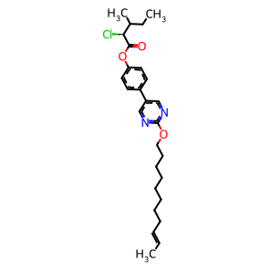 CC=CCCCCCCCCOc1ncc(-c2ccc(OC(=O)[C@@H](Cl)C(C)CC)cc2)cn1